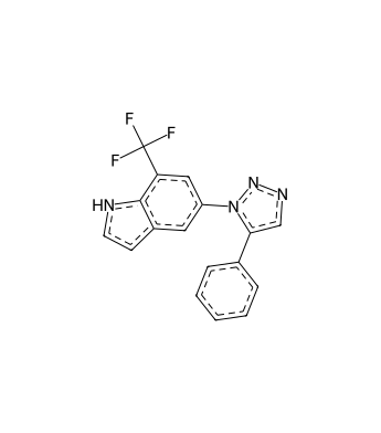 FC(F)(F)c1cc(-n2nncc2-c2ccccc2)cc2cc[nH]c12